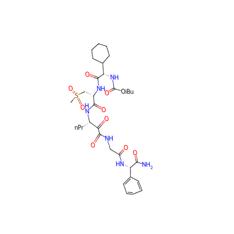 CCC[C@H](NC(=O)[C@H](CS(C)(=O)=O)NC(=O)[C@@H](NC(=O)OCC(C)C)C1CCCCC1)C(=O)C(=O)NCC(=O)N[C@H](C(N)=O)c1ccccc1